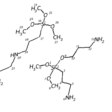 CO[Si](CCCN)(OC)OCCCN.CO[Si](CCCNCCN)(OC)OC